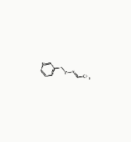 C/C=N/OCc1cccnc1